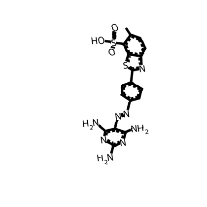 Cc1ccc2nc(-c3ccc(N=Nc4c(N)nc(N)nc4N)cc3)sc2c1S(=O)(=O)O